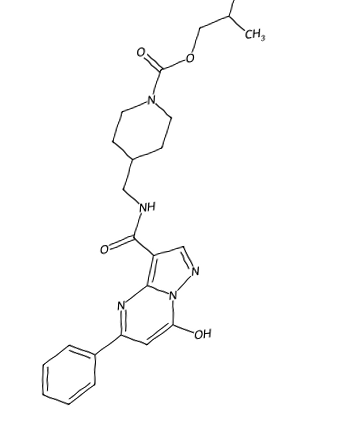 CC(C)COC(=O)N1CCC(CNC(=O)c2cnn3c(O)cc(-c4ccccc4)nc23)CC1